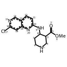 COC(=O)C1CNCCC1Nc1ccc2cnc(Cl)cc2n1